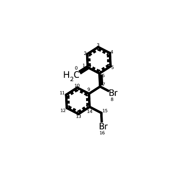 C=c1cccc/c1=C(\Br)c1ccccc1CBr